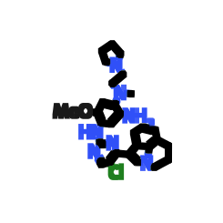 COc1cc(N(C)CCN2CCCC2)c(N)cc1Nc1ncc(Cl)c(-c2cn3c4c(cccc24)CCC3)n1